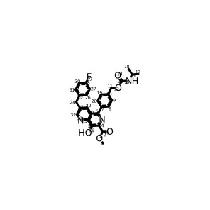 COC(=O)c1nc(-c2ccc(COC(=O)NC(C)C)cc2)c2cc(Cc3ccc(F)cc3)cnc2c1O